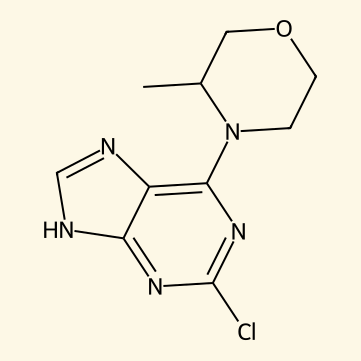 CC1COCCN1c1nc(Cl)nc2[nH]cnc12